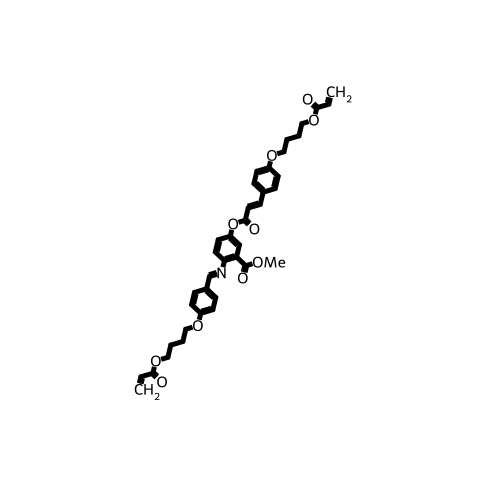 C=CC(=O)OCCCCOc1ccc(/C=C/C(=O)Oc2ccc(/N=C/c3ccc(OCCCCOC(=O)C=C)cc3)c(C(=O)OC)c2)cc1